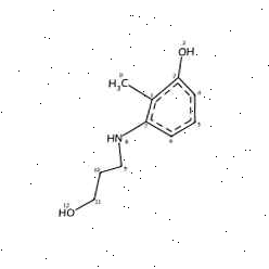 Cc1c(O)cccc1NCCCO